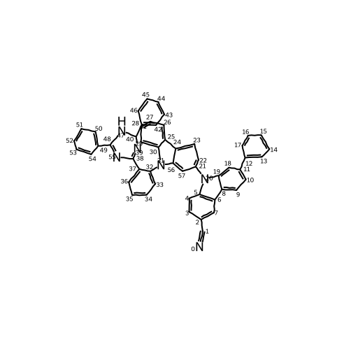 N#Cc1ccc2c(c1)c1ccc(-c3ccccc3)cc1n2-c1ccc2c3ccccc3n(-c3ccccc3C3=NC(c4ccccc4)NC(c4ccccc4)=N3)c2c1